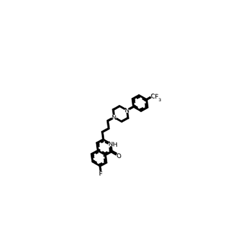 O=c1[nH]c(CCCN2CCN(c3ccc(C(F)(F)F)cc3)CC2)cc2ccc(F)cc12